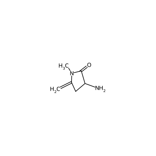 C=C1CC(N)C(=O)N1C